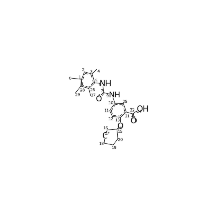 Cc1cc(C)c(NC(=O)Nc2ccc(OC3CCCCC3)c(C(=O)O)c2)c(C)c1C